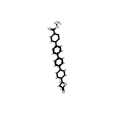 COC(=O)C1CCC(c2ccc(-c3ccc(C4CCC(C5CC(=O)O5)CC4)cc3)cc2)CC1